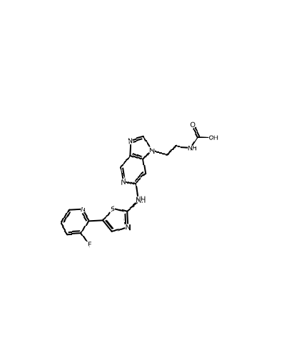 O=C(O)NCCn1cnc2cnc(Nc3ncc(-c4ncccc4F)s3)cc21